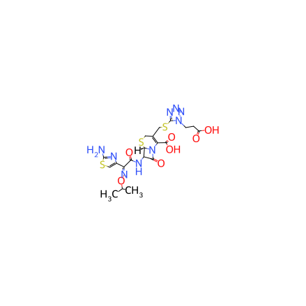 CC(C)ON=C(C(=O)NC1C(=O)N2C(C(=O)O)=C(CSc3nnnn3CCC(=O)O)CS[C@@H]12)c1csc(N)n1